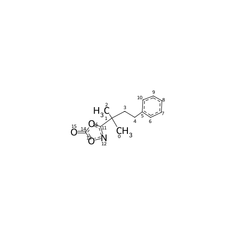 CC(C)(CCc1ccccc1)c1noc(=O)o1